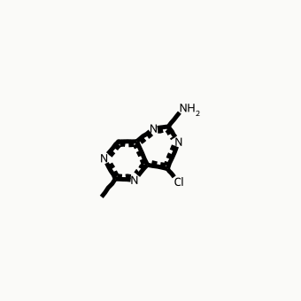 Cc1ncc2nc(N)nc(Cl)c2n1